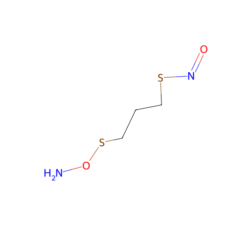 NOSCCCSN=O